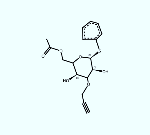 C#CCOC1[C@@H](O)C(COC(C)=O)O[C@@H](Sc2ccccc2)[C@H]1O